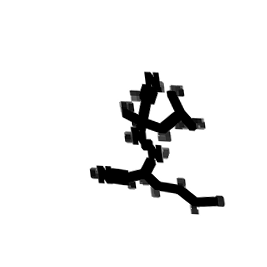 CCCCC(C#N)N=NC(C)(C#N)CC(C)C